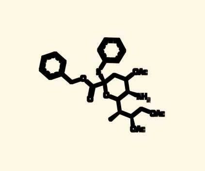 CC(=O)OC[C@@H](OC(C)=O)[C@@H](C)C1O[C@](Sc2ccccc2)(C(=O)OCc2ccccc2)CC(OC(C)=O)[C@H]1N